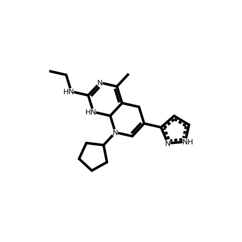 CCNC1=NC(C)=C2CC(c3cc[nH]n3)=CN(C3CCCC3)C2N1